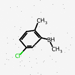 CBc1cc(Cl)ccc1C